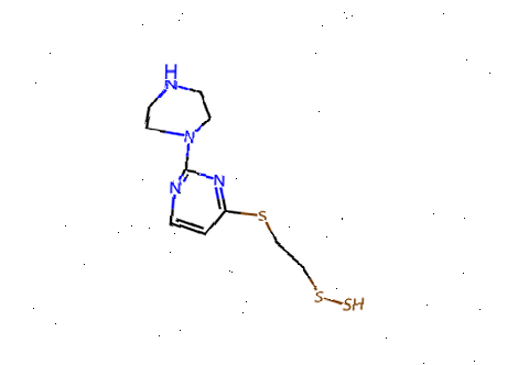 SSCCSc1ccnc(N2CCNCC2)n1